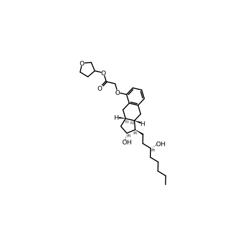 CCCCC[C@@H](O)CC[C@@H]1[C@H]2Cc3cccc(OCC(=O)OC4CCOC4)c3C[C@H]2C[C@H]1O